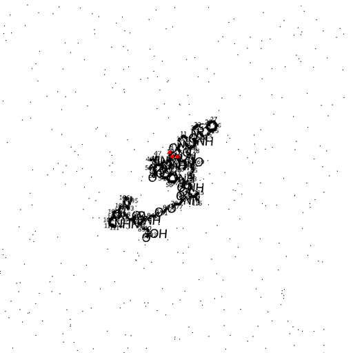 CC[C@H](C)[C@@H]([C@@H](CC(=O)N1CCC[C@H]1[C@H](OC)[C@@H](C)C(=O)N[C@@H](Cc1ccccc1)c1nccs1)OC)N(C)C(=O)[C@@H](NC(=O)[C@H](C(C)C)N(C)C(=O)OCc1ccc(NC(=O)[C@H](CCCNC(N)=O)NC(=O)[C@@H](NC(=O)CCOCCOCCNC(=O)[C@H](CCC(=O)O)NC(=O)CCn2c(CN(C)N(C)C)cc3cccnc32)C(C)C)cc1)C(C)C